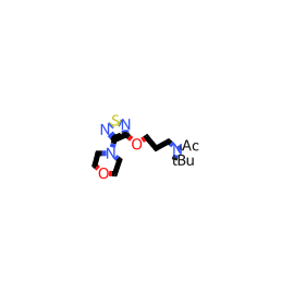 CC(=O)N(CCCOc1nsnc1N1CCOCC1)C(C)(C)C